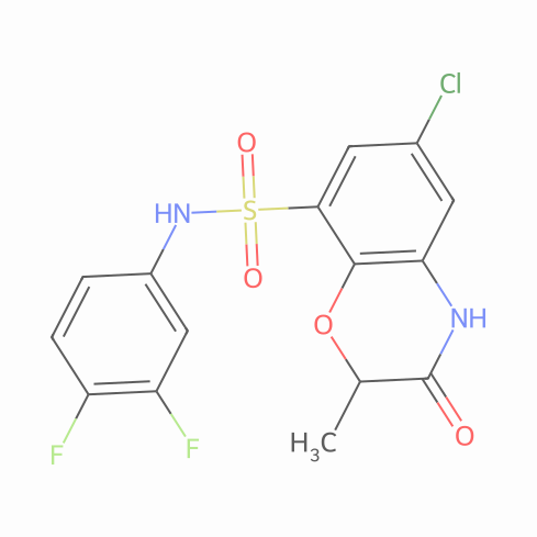 CC1Oc2c(cc(Cl)cc2S(=O)(=O)Nc2ccc(F)c(F)c2)NC1=O